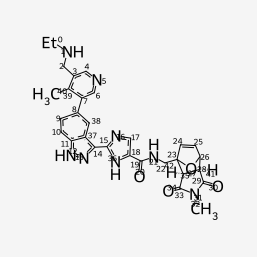 CCNCc1cncc(-c2ccc3[nH]nc(-c4ncc(C(=O)NCC56C=CC(O5)[C@H]5C(=O)N(C)C(=O)[C@H]56)[nH]4)c3c2)c1C